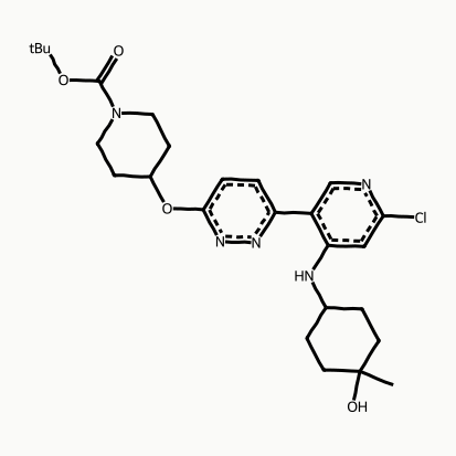 CC1(O)CCC(Nc2cc(Cl)ncc2-c2ccc(OC3CCN(C(=O)OC(C)(C)C)CC3)nn2)CC1